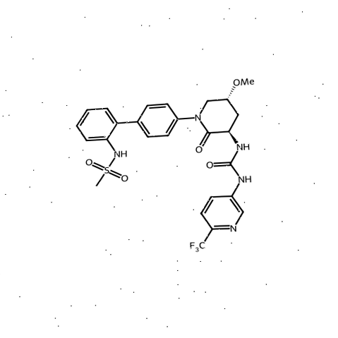 CO[C@@H]1C[C@@H](NC(=O)Nc2ccc(C(F)(F)F)nc2)C(=O)N(c2ccc(-c3ccccc3NS(C)(=O)=O)cc2)C1